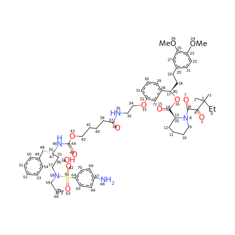 CCC(C)(C)C(=O)C(=O)N1CCCC[C@H]1C(=O)O[C@H](CCc1ccc(OC)c(OC)c1)c1cccc(OCCNC(=O)CCCCOC(=O)N[C@@H](Cc2ccccc2)[C@H](O)CN(CC(C)C)S(=O)(=O)c2ccc(N)cc2)c1